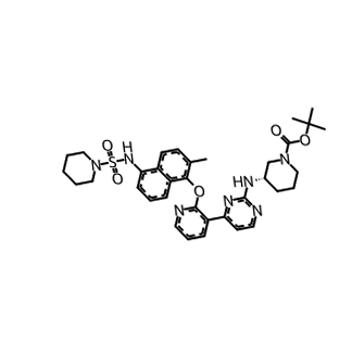 Cc1ccc2c(NS(=O)(=O)N3CCCCC3)cccc2c1Oc1ncccc1-c1ccnc(N[C@H]2CCCN(C(=O)OC(C)(C)C)C2)n1